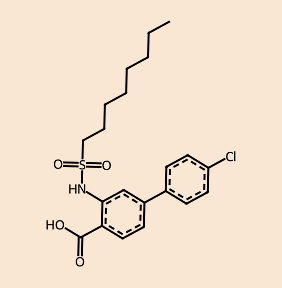 CCCCCCCCS(=O)(=O)Nc1cc(-c2ccc(Cl)cc2)ccc1C(=O)O